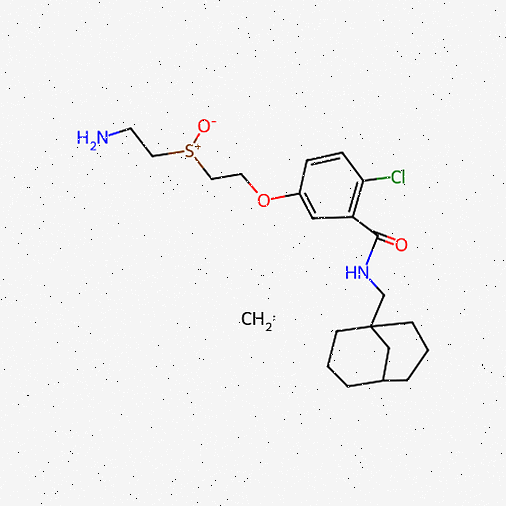 NCC[S+]([O-])CCOc1ccc(Cl)c(C(=O)NCC23CCCC(CCC2)C3)c1.[CH2]